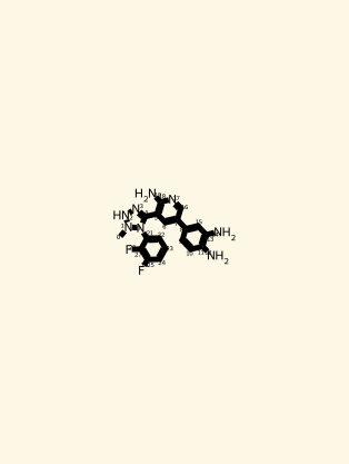 CN1NN=C(c2cc(-c3ccc(N)c(N)c3)cnc2N)N1c1cccc(F)c1F